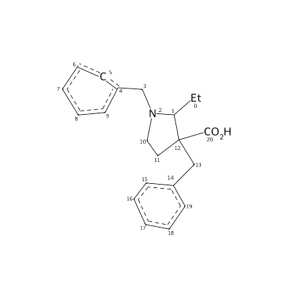 CCC1N(Cc2ccccc2)CCC1(Cc1ccccc1)C(=O)O